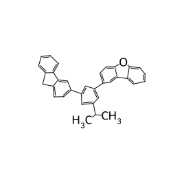 CC(C)c1cc(-c2ccc3c(c2)-c2ccccc2C3)cc(-c2ccc3oc4ccccc4c3c2)c1